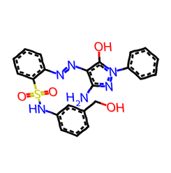 Nc1nn(-c2ccccc2)c(O)c1/N=N/c1ccccc1S(=O)(=O)Nc1cccc(CO)c1